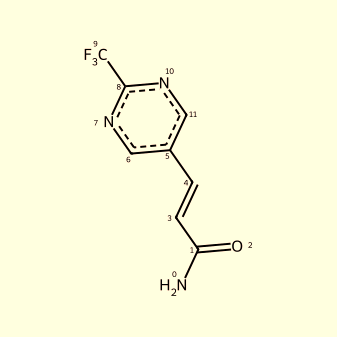 NC(=O)C=Cc1cnc(C(F)(F)F)nc1